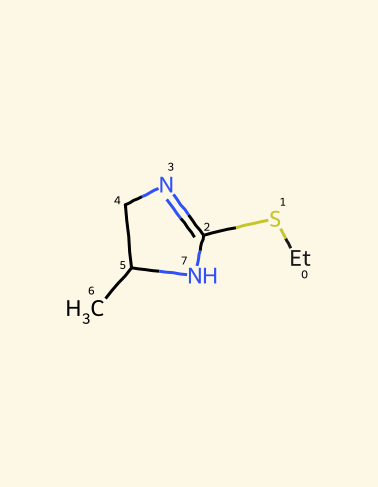 CCSC1=NCC(C)N1